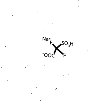 O=C([O-])C(F)(F)S(=O)(=O)O.[Na+]